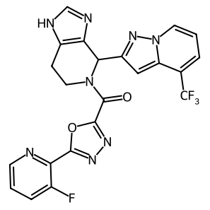 O=C(c1nnc(-c2ncccc2F)o1)N1CCc2[nH]cnc2C1c1cc2c(C(F)(F)F)cccn2n1